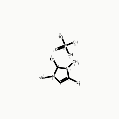 CCCCN1C=C(CC)N(C)C1CC.O=P(O)(O)O